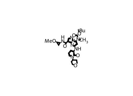 CO[C@@H]1C[C@H]1NC(=O)c1cnn2c(N(C)C(=O)OC(C)(C)C)cc(Nc3cccn(C4CCOCC4)c3=O)nc12